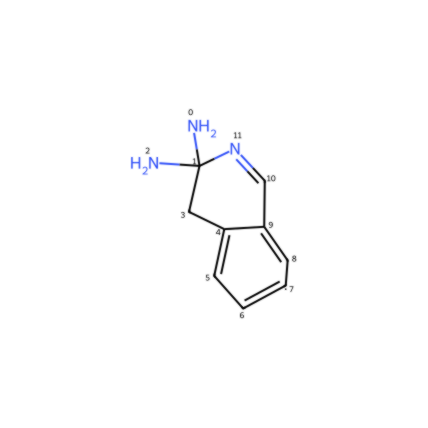 NC1(N)Cc2cc[c]cc2C=N1